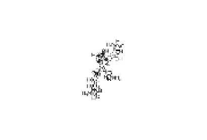 CN(C)C(=O)C[C@H]1[C@@H](O)[C@H](n2c[n+](C)c3c(=O)[nH]c(N)nc32)O[C@@H]1COP(=O)(O)OP(=O)(O)OP(=O)(O)OCC1O[C@@H](n2cnc3c(N)ncnc32)C[C@@H]1OP(=O)([O-])OC[C@H]1O[C@@H](n2cnc3c(=O)[nH]c(N)nc32)[C@H](O)[C@@H]1O